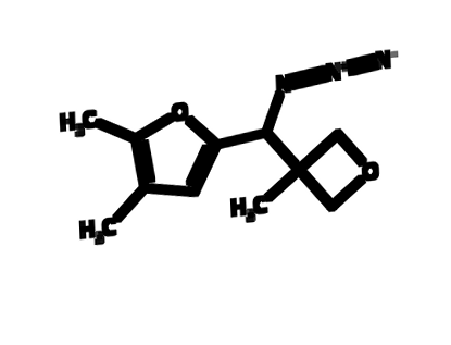 Cc1cc(C(N=[N+]=[N-])C2(C)COC2)oc1C